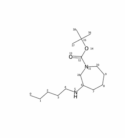 CCCCCNC1CCCCN(C(=O)OC(C)(C)C)C1